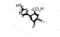 O=C(O)c1cc(F)c(F)cc1-c1cnc(S)s1